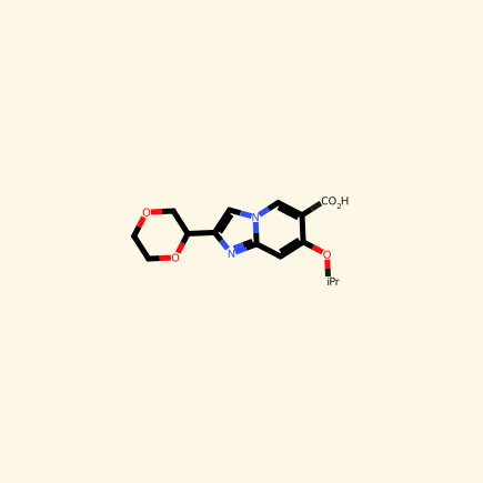 CC(C)Oc1cc2nc(C3COCCO3)cn2cc1C(=O)O